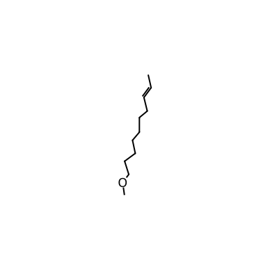 C/C=C/CCCCCCCOC